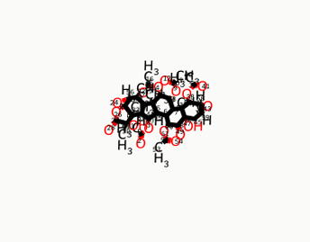 CC(=O)O[C@@H]1[C@H]2C3C([C@H](OC(C)=O)[C@H](OC(C)=O)[C@]2(C)C2[C@H](C)[C@H]4O[C@]45OC(=O)[C@@](C)(O)[C@]5(C)[C@@H]21)[C@@]1(C)[C@@H](OC(C)=O)[C@H]2O[C@H]2C[C@]1(O)C(=O)[C@@H]3OC(C)=O